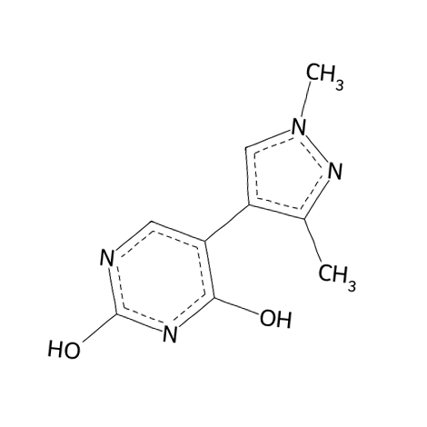 Cc1nn(C)cc1-c1cnc(O)nc1O